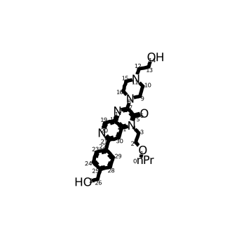 CCCOCCn1c(=O)c(N2CCN(CCO)CC2)nc2cnc(-c3ccc(CO)cc3)cc21